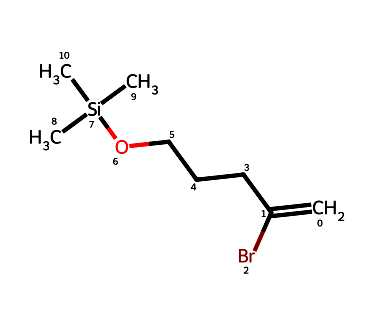 C=C(Br)CCCO[Si](C)(C)C